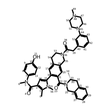 Cc1c(C(=O)N(C)c2ccc(O)cc2)cc(-c2cc3c(cc2C(=O)N2Cc4ccccc4C[C@H]2C)CN(C(=O)Cc2cccc(N4CCN(C)CC4)c2)CC3)n1C